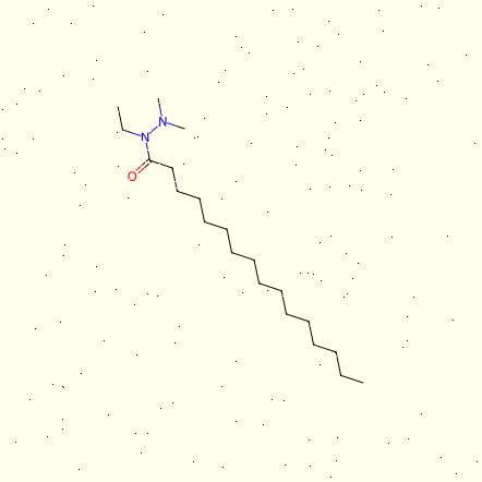 CCCCCCCCCCCCCCCC(=O)N(CC)N(C)C